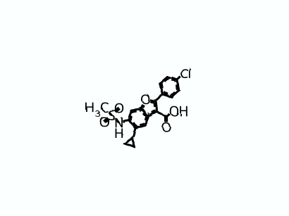 CS(=O)(=O)Nc1cc2oc(-c3ccc(Cl)cc3)c(C(=O)O)c2cc1C1CC1